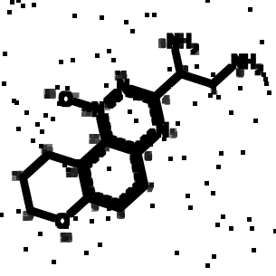 NCC(N)c1nc2ccc3c(c2[n+]([O-])n1)CCCO3